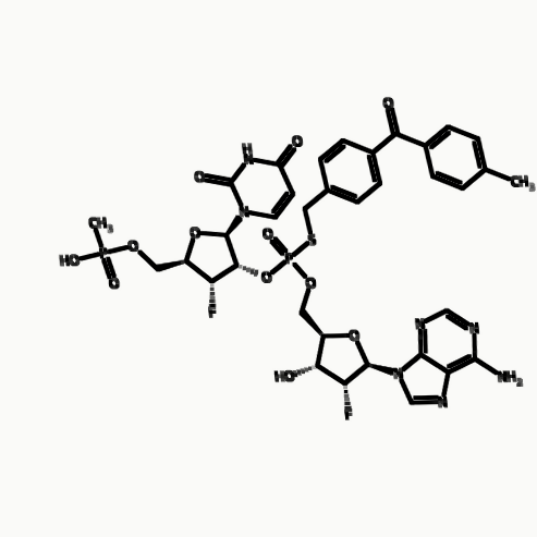 Cc1ccc(C(=O)c2ccc(CSP(=O)(OC[C@H]3O[C@@H](n4cnc5c(N)ncnc54)[C@H](F)[C@@H]3O)O[C@@H]3[C@H](F)[C@@H](COP(C)(=O)O)O[C@H]3n3ccc(=O)[nH]c3=O)cc2)cc1